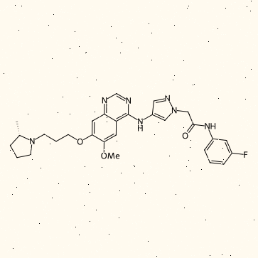 COc1cc2c(Nc3cnn(CC(=O)Nc4cccc(F)c4)c3)ncnc2cc1OCCCN1CCC[C@@H]1C